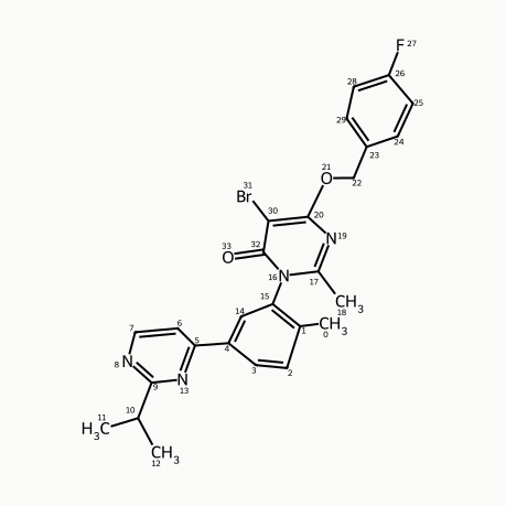 Cc1ccc(-c2ccnc(C(C)C)n2)cc1-n1c(C)nc(OCc2ccc(F)cc2)c(Br)c1=O